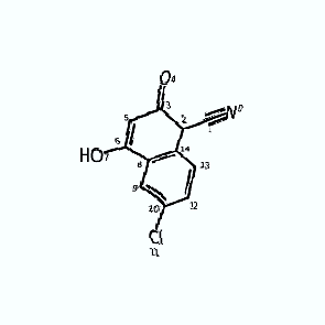 N#CC1C(=O)C=C(O)c2cc(Cl)ccc21